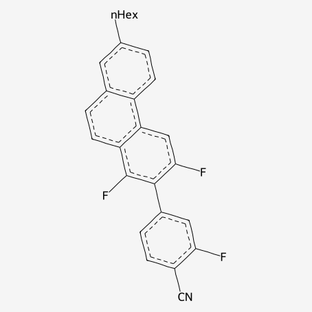 CCCCCCc1ccc2c(ccc3c(F)c(-c4ccc(C#N)c(F)c4)c(F)cc32)c1